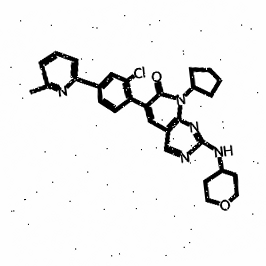 Cc1cccc(-c2ccc(-c3cc4cnc(NC5CCOCC5)nc4n(C4CCCC4)c3=O)c(Cl)c2)n1